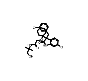 CC(C)(CO)NC(=O)CNC1(C2(Cc3cccc(Cl)c3)C(=O)Nc3cc(Cl)ccc32)CCCCC1